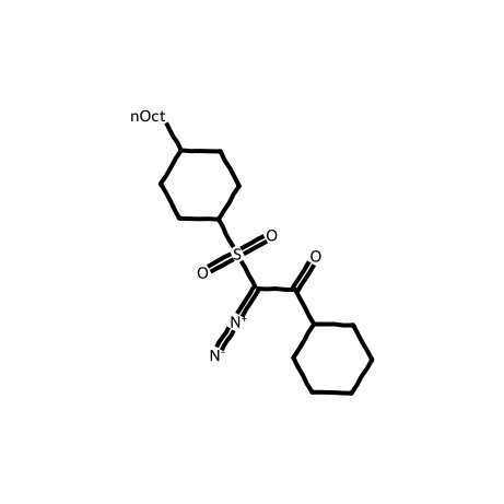 CCCCCCCCC1CCC(S(=O)(=O)C(=[N+]=[N-])C(=O)C2CCCCC2)CC1